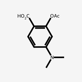 CC(=O)Oc1cc(N(C)C)ccc1C(=O)O